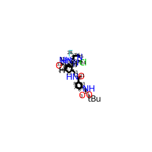 CC(C)(C)OC(=O)Nc1cccc(C(=O)NCC2C[C@@H]3C[C@@H]2[C@@H](Nc2nc(Cl)ncc2F)[C@H]3C(N)=O)c1